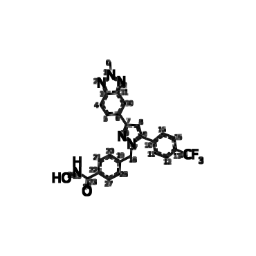 Cn1nc2ccc(-c3cc(-c4ccc(C(F)(F)F)cc4)n(Cc4ccc(C(=O)NO)cc4)n3)cc2n1